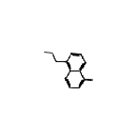 NCCc1cccc2c(S(=O)(=O)O)cccc12